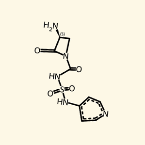 N[C@H]1CN(C(=O)NS(=O)(=O)Nc2ccncc2)C1=O